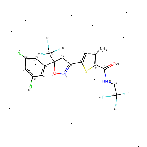 Cc1cc(C2=NOC(c3cc(Cl)cc(Cl)c3)(C(F)(F)F)C2)sc1C(=O)NCC(F)(F)F